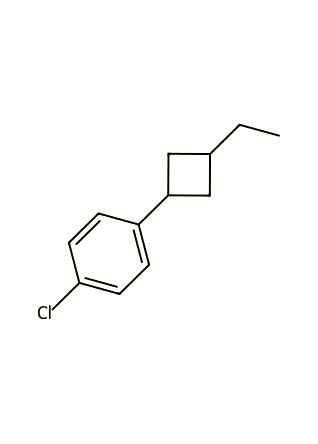 CCC1CC(c2ccc(Cl)cc2)C1